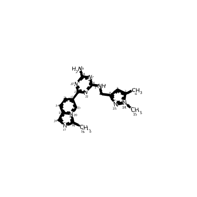 Cc1cc(CNc2nc(N)nc(-c3ccc4cnc(C)n4c3)n2)nn1C